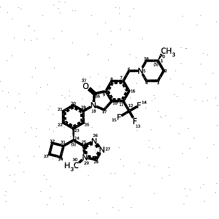 C[C@H]1CCCN(Cc2cc3c(c(C(F)(F)F)c2)CN(c2cccc([C@@H](c4nncn4C)C4CCC4)c2)C3=O)C1